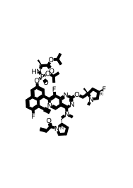 C#Cc1c(F)ccc2cc(OP(=O)(N[C@@H](C)C(=O)OC(C)C)OC(C)C)cc(-c3ncc4c(N(C)C[C@@H]5CCCN5C(=O)C=C)nc(OC[C@]5(C)C[C@@H](F)CN5C)nc4c3F)c12